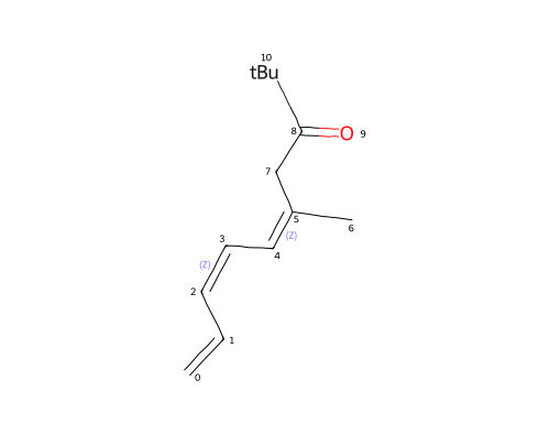 C=C/C=C\C=C(\C)CC(=O)C(C)(C)C